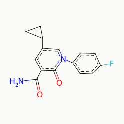 NC(=O)c1cc(C2CC2)cn(-c2ccc(F)cc2)c1=O